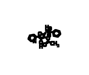 CC(=O)Oc1c(NS(=O)(=O)c2ccccc2)oc(-c2ccccn2)c1O